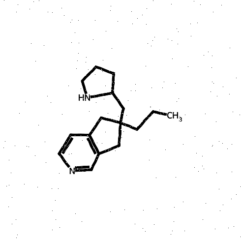 CCCC1(CC2CCCN2)Cc2ccncc2C1